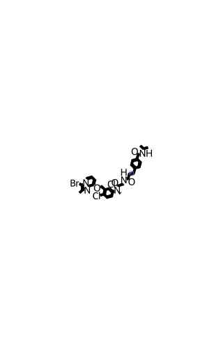 Cc1nc2c(OCc3c(Cl)ccc(N(C)C(=O)CNC(=O)/C=C/c4ccc(C(=O)NC(C)C)cc4)c3Cl)cccn2c1Br